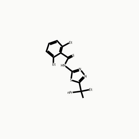 CCCC(C)(CC)c1nnc(NC(=S)c2c(CC)cccc2CC)s1